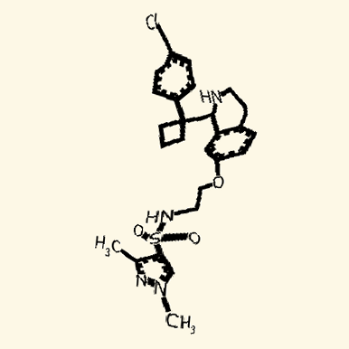 Cc1nn(C)cc1S(=O)(=O)NCCOc1ccc2c(c1)C(C1(c3ccc(Cl)cc3)CCC1)NCC2